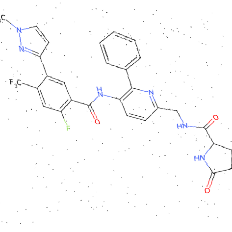 Cn1ccc(-c2cc(C(=O)Nc3ccc(CNC(=O)C4CCC(=O)N4)nc3-c3ccccc3)c(F)cc2C(F)(F)F)n1